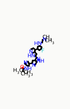 CN(C)CCNc1cc(F)cc(-c2ccnc3[nH]c(-c4n[nH]c5cnc(-c6cncc(NC(=O)C(C)(C)C)c6)cc45)cc23)c1